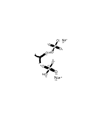 CC(C)=O.O=S(=O)([O-])O.O=S(=O)([O-])O.[Na+].[Na+]